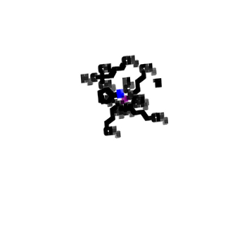 C=CC=CC(C)(C)C.CCCC[Si](C)(C)P(=NC1=CC=CC1)([Si](C)(C)CCCC)[Si](C)(C)CCCC.[Ti]